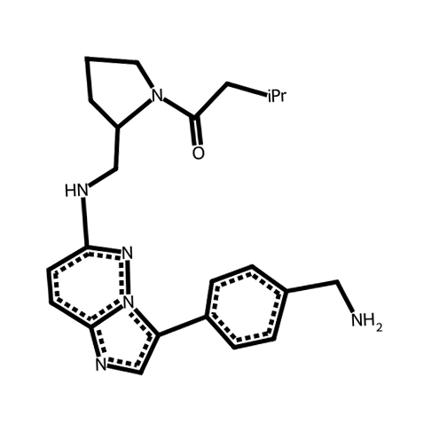 CC(C)CC(=O)N1CCCC1CNc1ccc2ncc(-c3ccc(CN)cc3)n2n1